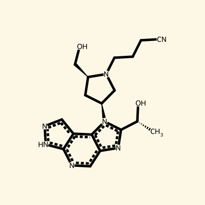 C[C@@H](O)c1nc2cnc3[nH]ncc3c2n1[C@H]1C[C@@H](CO)N(CCCC#N)C1